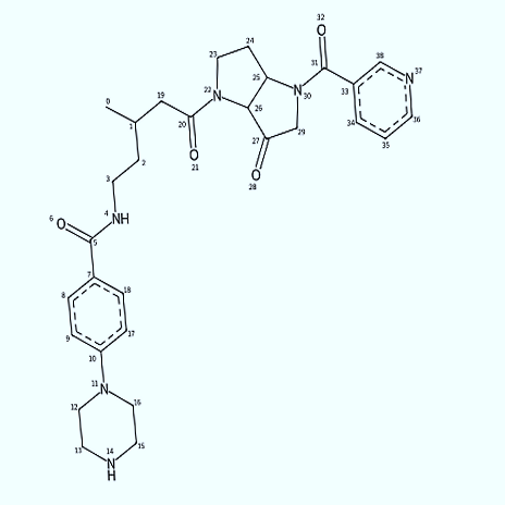 CC(CCNC(=O)c1ccc(N2CCNCC2)cc1)CC(=O)N1CCC2C1C(=O)CN2C(=O)c1cccnc1